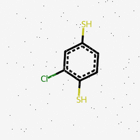 Sc1ccc(S)c(Cl)c1